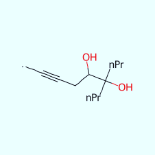 [CH2]C#CCC(O)C(O)(CCC)CCC